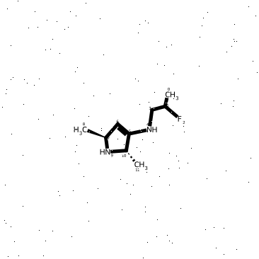 CC(F)CNC1=C[C@H](C)N[C@H]1C